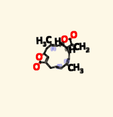 C=C1C(=O)O[C@H]2/C=C(\C)CC3C=C(C/C=C/C(C)=C\C[C@H]12)C(=O)O3